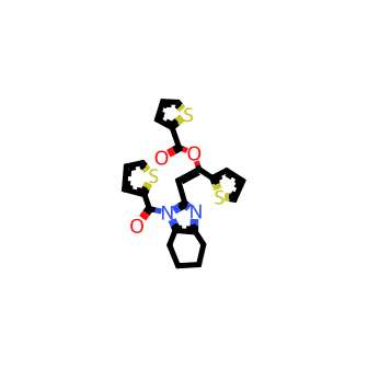 O=C(O/C(=C/c1nc2c(n1C(=O)c1cccs1)CCCC2)c1cccs1)c1cccs1